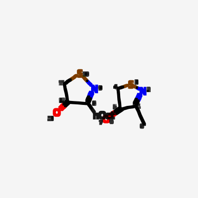 CC1=NSCC1=O.CCCCCCCCC1=NSCC1=O